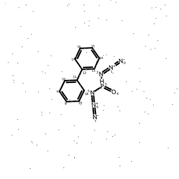 [N-]=[N+]=N[PH](=O)N=[N+]=[N-].c1ccc(-c2ccccc2)cc1